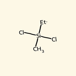 C[CH][Si](C)(Cl)Cl